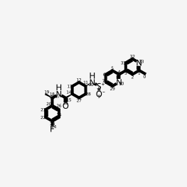 Cc1cc(-c2ccc([S+]([O-])N[C@H]3CC[C@H](C(=O)N[C@H](C)c4ccc(F)cc4)CC3)cn2)ccn1